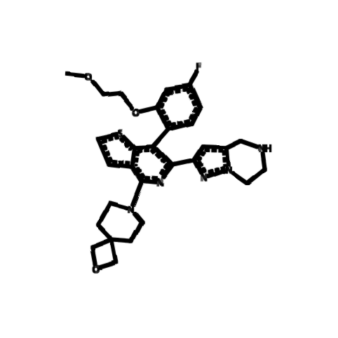 COCCOc1cc(F)ccc1-c1c(-c2cc3n(n2)CCNC3)nc(N2CCC3(CC2)COC3)c2ccsc12